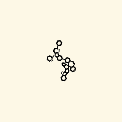 C1=Cc2ccc(-c3ccc4c(c3)c3nc(-c5ccccc5)ccc3n4-c3ccccn3)cc2C2(c3ccccc31)c1ccccc1-c1c2ccc2c1oc1ccccc12